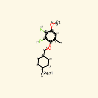 CCCCCC1CCC(COc2c(C)cc(OCC)c(F)c2F)CC1